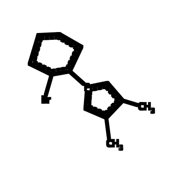 Cc1cp(-c2ccccc2Br)cc1C